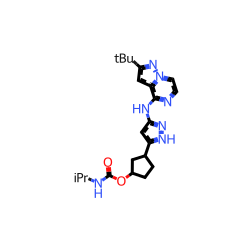 CC(C)NC(=O)OC1CCC(c2cc(Nc3nccn4nc(C(C)(C)C)cc34)n[nH]2)C1